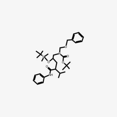 CC(C)C(CC(CN(COCc1ccccc1)C(=O)OC(C)(C)C)O[Si](C)(C)C(C)(C)C)C(=O)Nc1ccccc1